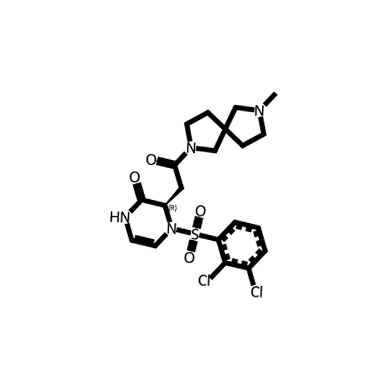 CN1CCC2(CCN(C(=O)C[C@@H]3C(=O)NC=CN3S(=O)(=O)c3cccc(Cl)c3Cl)C2)C1